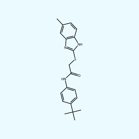 Cc1ccc2[nH]c(SCC(=O)Nc3ccc(C(C)(C)C)cc3)nc2c1